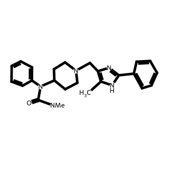 CNC(=O)N(c1ccccc1)C1CCN(Cc2nc(-c3ccccc3)[nH]c2C)CC1